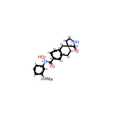 COc1cccc(N(O)C(=O)c2ccc3c(c2)CC[C@]2(CCNC2=O)C3)c1